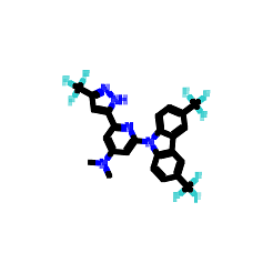 CN(C)c1cc(-c2cc(C(F)(F)F)n[nH]2)nc(-n2c3ccc(C(F)(F)F)cc3c3cc(C(F)(F)F)ccc32)c1